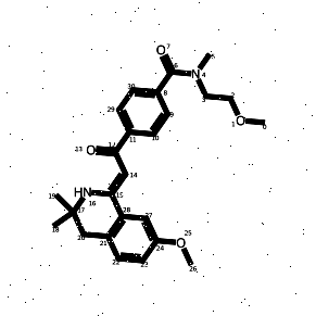 COCCN(C)C(=O)c1ccc(C(=O)C=C2NC(C)(C)Cc3ccc(OC)cc32)cc1